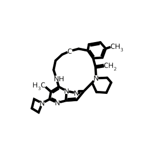 C=C1c2cc(C)ccc2CCCCCNc2c(C)c(N3CCC3)nc3cc(nn23)C2CCCCN12